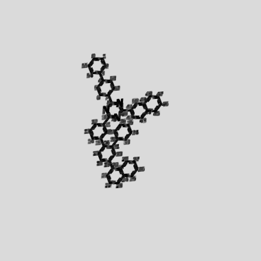 c1ccc(-c2ccc(-c3nc(-c4cccc(-c5ccc(-c6cccc7ccccc67)cc5-c5ccccc5)c4)nc(-c4ccc5ccccc5c4)n3)cc2)cc1